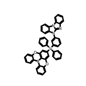 c1ccc([Si](c2ccccc2)(c2cccc(-n3c4ccccc4n4c5ccccc5nc34)c2)c2cc3c4c(c2)Oc2ccccc2B4c2ccccc2O3)cc1